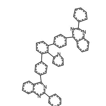 c1ccc(-c2nc(-c3ccc(-c4cccc(-c5ccc(-c6nc(-c7ccccc7)nc7ccccc67)cc5)c4-c4ccccn4)cc3)c3ccccc3n2)cc1